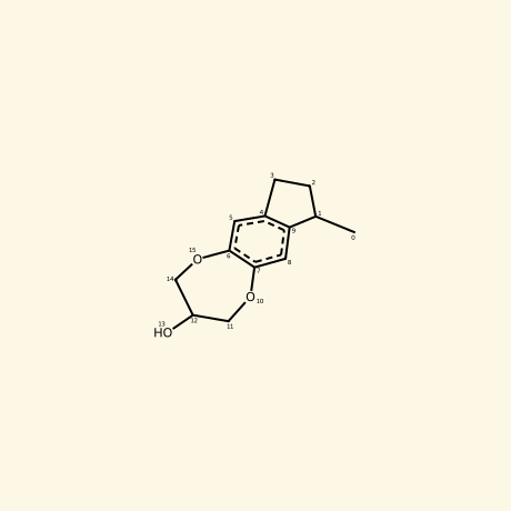 CC1CCc2cc3c(cc21)OCC(O)CO3